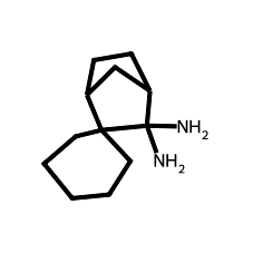 NC1(N)C2CCC(C2)C12CCCCC2